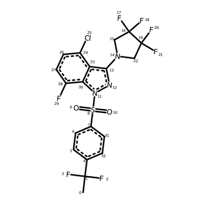 CC(F)(F)c1ccc(S(=O)(=O)n2nc(N3CC(F)(F)C(F)(F)C3)c3c(Cl)ccc(F)c32)cc1